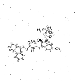 Cc1ccc2c(CC(NC(=O)OCC3c4ccccc4-c4ccccc43)C(=O)O)cn(C(=O)OC(C)(C)C)c2c1